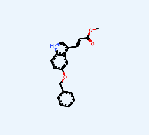 COC(=O)/C=C/c1c[nH]c2ccc(OCc3ccccc3)cc12